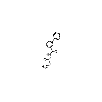 COC(=O)CNC(=O)c1cccc(-c2ccccc2)c1